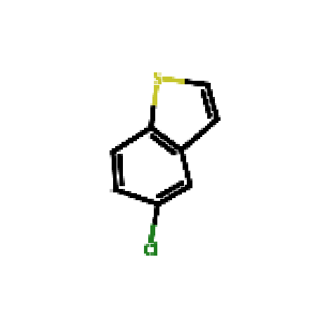 Clc1[c]cc2sccc2c1